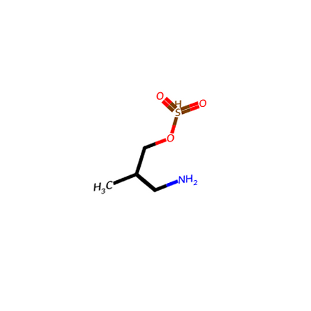 CC(CN)CO[SH](=O)=O